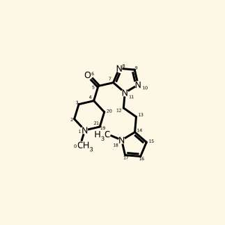 CN1CCC(C(=O)c2ncnn2CCc2cccn2C)CC1